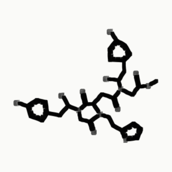 COC(=O)CN(C(=O)CC1C(=O)N(C(Cl)Cc2ccc(Cl)cc2)CC(=O)N1CCc1cccs1)C(Cl)Cc1ccc(Cl)cc1